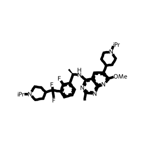 COc1nc2nc(C)nc(N[C@H](C)c3cccc(C(F)(F)C4CCN(C(C)C)CC4)c3F)c2cc1C1CCN(C(C)C)CC1